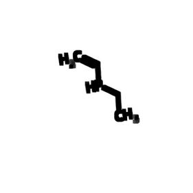 C=CPCC